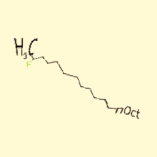 [CH2]CCCCCCCCCCCCCCCCCC(C)F